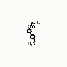 C=CC(=O)Oc1ccc(-c2ccc(CN)cc2)s1